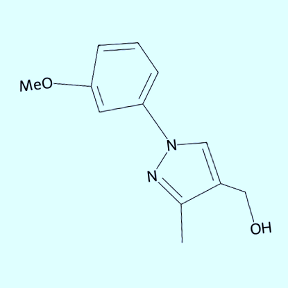 COc1cccc(-n2cc(CO)c(C)n2)c1